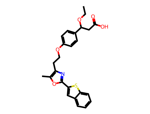 CCOC(CC(=O)O)c1ccc(OCCc2nc(-c3cc4ccccc4s3)oc2C)cc1